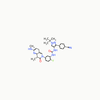 CNC1=CCC2=CN(c3ccc(F)c(NC(=O)Nc4cn(C(C)(C)C)nc4-c4ccc(C#N)cc4)c3)C(=O)C(C)C2=N1